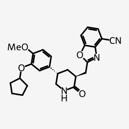 COc1ccc([C@H]2CNC(=O)[C@H](Cc3nc4c(C#N)cccc4o3)C2)cc1OC1CCCC1